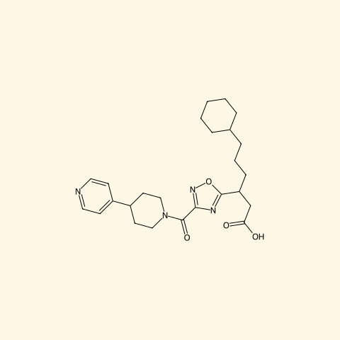 O=C(O)CC(CCCC1CCCCC1)c1nc(C(=O)N2CCC(c3ccncc3)CC2)no1